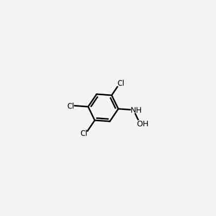 ONc1cc(Cl)c(Cl)cc1Cl